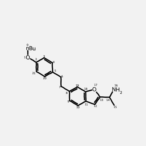 CCCCOc1ccc(CCc2ccc3cc(C(C)N)oc3c2)cc1